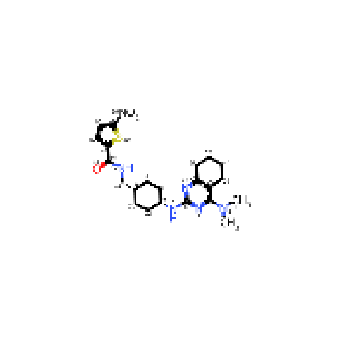 CN(C)c1nc(N[C@H]2CC[C@@H](CNC(=O)c3ccc([N+](=O)[O-])s3)CC2)nc2c1CCCC2